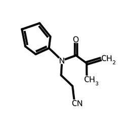 C=C(C)C(=O)N(CCC#N)c1ccccc1